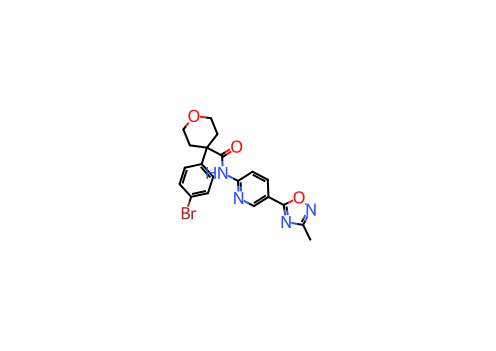 Cc1noc(-c2ccc(NC(=O)C3(c4ccc(Br)cc4)CCOCC3)nc2)n1